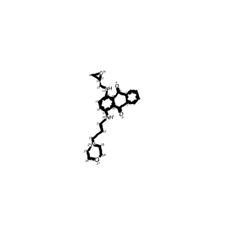 O=C1c2ccccc2C(=O)c2c(NC[C@H]3CO3)ccc(NCCCN3CCOCC3)c21